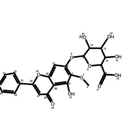 COc1c(OC2OC(C(=O)O)C(O)C(O)C2O)cc2oc(-c3ccccc3)cc(=O)c2c1O